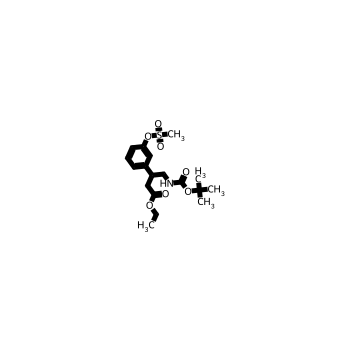 CCOC(=O)CC(CNC(=O)OC(C)(C)C)c1cccc(OS(C)(=O)=O)c1